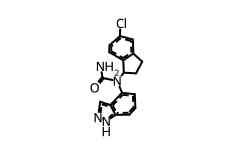 NC(=O)N(c1cccc2[nH]ncc12)C1CCc2cc(Cl)ccc21